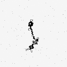 O=C(O)c1ccc(CNS(=O)(=O)C2CC(=O)N2CCOCCCCCC(=O)c2ccc(Cl)cc2)cc1